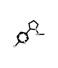 CNN1CCCC1c1ccc(Cl)nc1